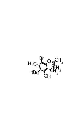 Cc1c(O)c(C(C)(C)C)c(C)c(Br)c1O[SiH](C)C